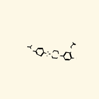 CC(C)Sc1ccc(S(=O)(=O)N2CCN(c3ccc(Cl)c(OCC(=O)O)c3)CC2)cc1